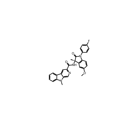 COc1ccc2c(c1)[C@](C)(NC(=O)c1cc3c4ccccc4n(C)c3cn1)C(=O)N2c1ccc(F)cc1